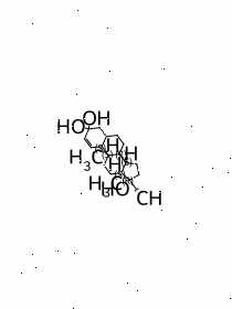 C#C[C@@]1(O)CC[C@H]2[C@@H]3CCC4CC(O)(O)C=C[C@]4(C)[C@H]3CC[C@@]21C